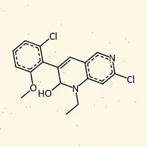 CCN1c2cc(Cl)ncc2C=C(c2c(Cl)cccc2OC)C1O